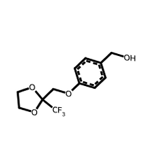 OCc1ccc(OCC2(C(F)(F)F)OCCO2)cc1